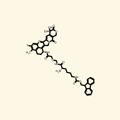 CC[C@@]1(O)C(=O)OCc2c1cc1n(c2=O)Cc2c-1nc1cc(F)c(C)c3c1c2[C@@H](NC(=O)COCNC(=O)[C@@H](N)CCCCNC(=O)OCC1c2ccccc2-c2ccccc21)CC3